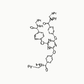 CC(C)CNC(=O)c1ccc(Oc2nc(Oc3ccc(C(=O)NCC(C)C)cc3)nc(Oc3ccc(C(=O)NCC(C)C)cc3)n2)cc1